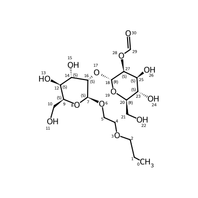 CCCOCCO[C@H]1O[C@@H](CO)[C@@H](O)[C@H](O)[C@@H]1O[C@H]1O[C@H](CO)[C@@H](O)[C@H](O)[C@@H]1OC=O